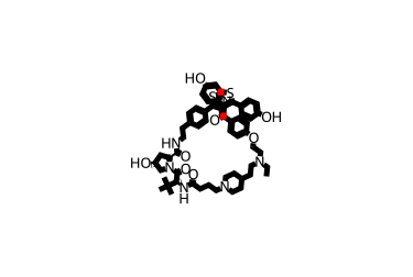 CCN(CCOc1ccc(C(=O)c2c(-c3ccc(O)cc3)sc3cc(O)ccc23)cc1)CCC1CCN(CCCC(=O)N[C@H](C(=O)N2C[C@@H](O)C[C@H]2C(=O)NCCc2ccc(-c3scnc3C)cc2)C(C)(C)C)CC1